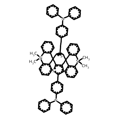 C[Si]1(C)c2ccccc2C2(c3ccccc31)c1cc(-c3ccc(N(c4ccccc4)c4ccccc4)cc3)sc1C1(c3ccccc3[Si](C)(C)c3ccccc31)c1cc(-c3ccc(N(c4ccccc4)c4ccccc4)cc3)sc12